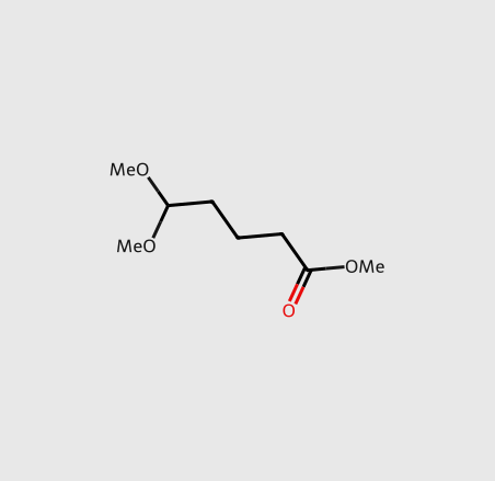 COC(=O)CCCC(OC)OC